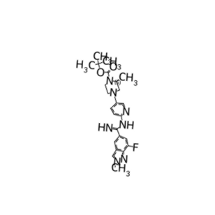 C[C@H]1CN(c2ccc(NC(=N)c3cc(F)c4nn(C)cc4c3)nc2)CCN1C(=O)OC(C)(C)C